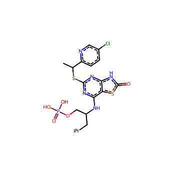 CC(C)CC(COP(=O)(O)O)Nc1nc(SC(C)c2ccc(Cl)cn2)nc2[nH]c(=O)sc12